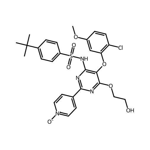 COc1ccc(Cl)c(Oc2c(NS(=O)(=O)c3ccc(C(C)(C)C)cc3)nc(-c3cc[n+]([O-])cc3)nc2OCCO)c1